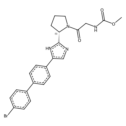 COC(=O)NCC(=O)N1CCC[C@H]1c1ncc(-c2ccc(-c3ccc(Br)cc3)cc2)[nH]1